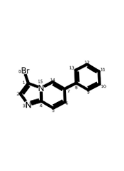 Brc1cnc2ccc(-c3[c]cccc3)cn12